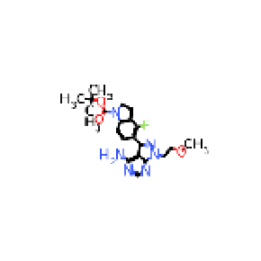 COCCn1nc(-c2ccc3c(c2F)CCN3C(=O)OC(C)(C)C)c2c(N)ncnc21